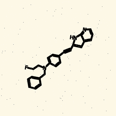 FCCN(Cc1ccccc1)c1ccc(C#Cc2cc3cccnc3[nH]2)cc1